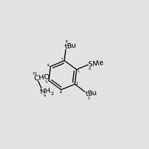 CSc1c(C(C)(C)C)cccc1C(C)(C)C.NC=O